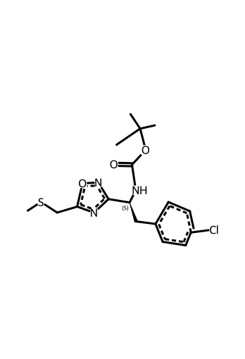 CSCc1nc([C@H](Cc2ccc(Cl)cc2)NC(=O)OC(C)(C)C)no1